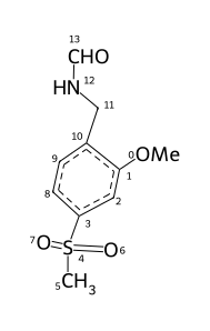 COc1cc(S(C)(=O)=O)ccc1CNC=O